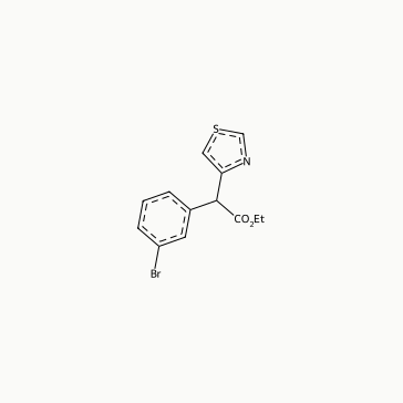 CCOC(=O)C(c1cccc(Br)c1)c1cscn1